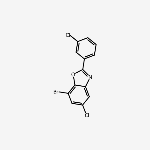 Clc1cccc(-c2nc3cc(Cl)cc(Br)c3o2)c1